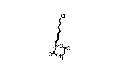 CN1CC(=O)OB(CC=CCCCCCl)OC(=O)C1